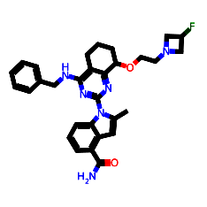 Cc1cc2c(C(N)=O)cccc2n1-c1nc(NCc2ccccc2)c2c(n1)C(OCCN1CC(F)C1)CCC2